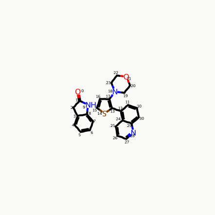 O=C1Cc2ccccc2N1.c1cc(-c2sccc2N2CCOCC2)c2cccnc2c1